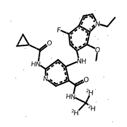 [2H]C([2H])([2H])NC(=O)c1cnc(NC(=O)C2CC2)cc1Nc1cc(F)c2ccn(CC)c2c1OC